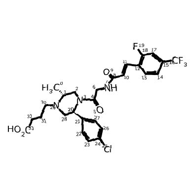 C[C@@H]1CN(C(=O)CNC(=O)/C=C/c2ccc(C(F)(F)F)cc2F)[C@@H](c2ccc(Cl)cc2)CN1CCCC(=O)O